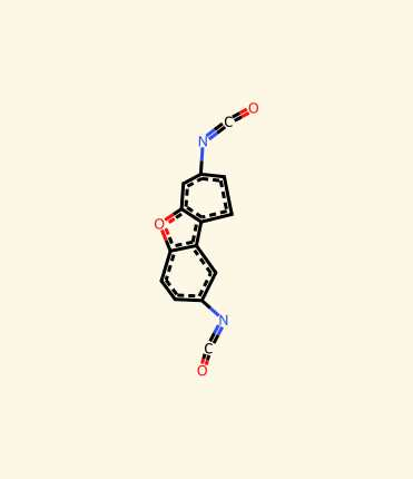 O=C=Nc1ccc2c(c1)oc1ccc(N=C=O)cc12